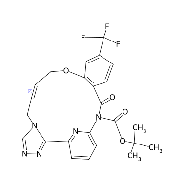 CC(C)(C)OC(=O)N1C(=O)c2ccc(C(F)(F)F)cc2OC/C=C\Cn2cnnc2-c2cccc1n2